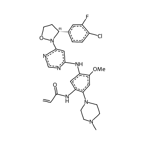 C=CC(=O)Nc1cc(Nc2cc(N3OCC[C@@H]3c3ccc(Cl)c(F)c3)ncn2)c(OC)cc1N1CCN(C)CC1